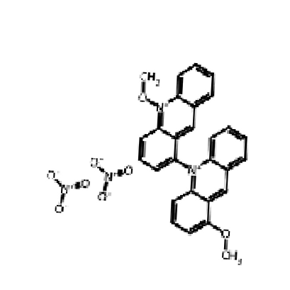 COc1cccc2c1cc1ccccc1[n+]2-c1cccc2c1cc1ccccc1[n+]2OC.O=[N+]([O-])[O-].O=[N+]([O-])[O-]